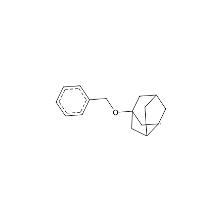 c1ccc(COC23C[C]4CC(CC4C2)C3)cc1